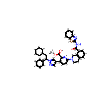 CC(C)(C)OC(=O)c1nc(N2CCc3cccc(C(=O)Nc4nc5ccccc5s4)c3C2)ccc1-c1cnn(C(CC2CCCCC2)c2ccccc2)c1